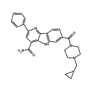 NC(=O)c1cc(-c2ccccc2)nc2c1[nH]c1cc(C(=O)N3CCN(CC4CC4)CC3)ccc12